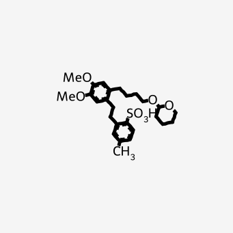 COc1cc(CCCCOC2CCCCO2)c(CCc2cc(C)ccc2S(=O)(=O)O)cc1OC